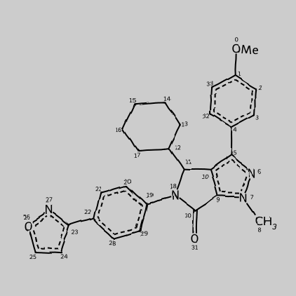 COc1ccc(-c2nn(C)c3c2C(C2CCCCC2)N(c2ccc(-c4ccon4)cc2)C3=O)cc1